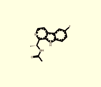 CC(=O)N[C@H](C)c1nccc2c1[nH]c1ccc(F)cc12